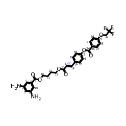 Nc1cc(N)cc(C(=O)OCCCCOC(=O)/C=C/c2ccc(OC(=O)c3ccc(OCC(F)(F)F)cc3)cc2)c1